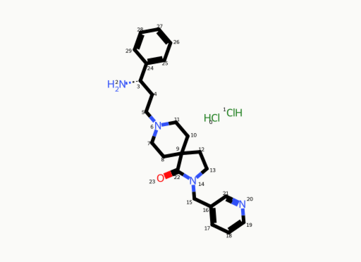 Cl.Cl.N[C@@H](CCN1CCC2(CC1)CCN(Cc1cccnc1)C2=O)c1ccccc1